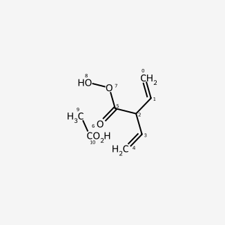 C=CC(C=C)C(=O)OO.CC(=O)O